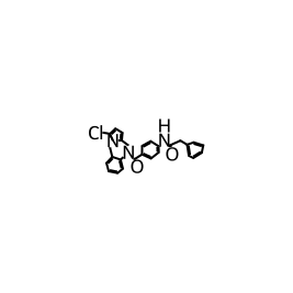 O=C(Cc1ccccc1)Nc1ccc(C(=O)N2Cc3ccc(Cl)n3Cc3ccccc32)cc1